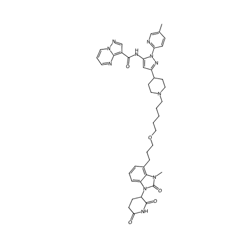 Cc1ccc(-n2nc(C3CCN(CCCCCOCCCc4cccc5c4n(C)c(=O)n5C4CCC(=O)NC4=O)CC3)cc2NC(=O)c2cnn3cccnc23)nc1